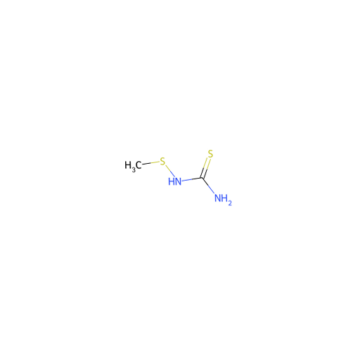 CSNC(N)=S